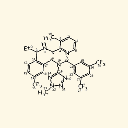 CCC(NCc1ncccc1C)c1ccc(C(F)(F)F)cc1CN(Cc1cc(C(F)(F)F)cc(C(F)(F)F)c1)c1nnn(C)n1